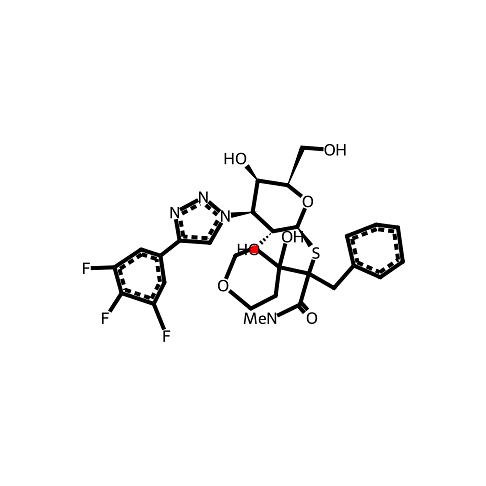 CNC(=O)C(Cc1ccccc1)(S[C@@H]1O[C@H](CO)[C@H](O)[C@H](n2cc(-c3cc(F)c(F)c(F)c3)nn2)[C@H]1O)C1(O)CCOCC1